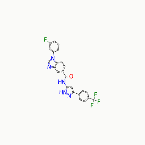 O=C(Nc1cc(-c2ccc(C(F)(F)F)cc2)n[nH]1)c1ccc2c(c1)ncn2-c1cccc(F)c1